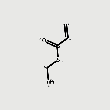 C=CC(=O)SCCCC